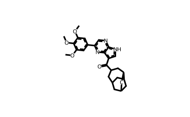 COc1cc(-c2cnc3[nH]cc(C(=O)C4CC5CC6CC(C5)C(C6)C4)c3n2)cc(OC)c1OC